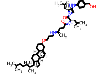 C=C(CCC(=O)N[C@@H](CC(C)C)C(=O)N1C=C(Nc2ccc(CO)cc2)[C@@H]1CC(C)C)NCCCO[C@H]1CC[C@@]2(C)C(=CC[C@H]3[C@@H]4CC[C@H]([C@H](C)CCCC(C)C)[C@@]4(C)CC[C@@H]32)C1